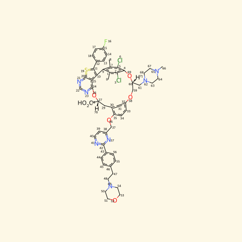 Cc1c(Cl)c2c(Cl)c(C)c1-c1c(-c3ccc(F)cc3)sc3ncnc(c13)O[C@@H](C(=O)O)Cc1cc(ccc1OCc1ccnc(-c3ccc(CCN4CCOCC4)cc3)n1)OC[C@@H](CN1CCN(C)CC1)O2